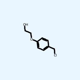 OCCOc1ccc(CCl)cc1